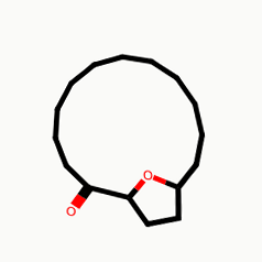 O=C1CCCCCCCCCCCC2CCC1O2